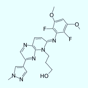 COc1cc(OC)c(F)c(/N=c2\ccc3ncc(-c4cnn(C)c4)nc3n2CCCO)c1F